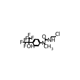 CN(C(=O)NCCCl)c1ccc(C(O)(C(F)(F)F)C(F)(F)F)cc1